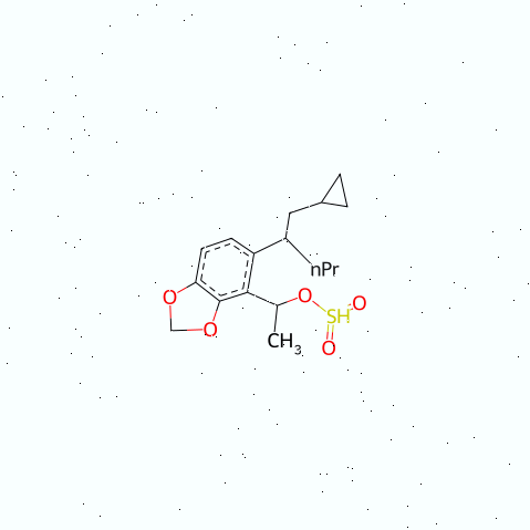 CCCC(CC1CC1)c1ccc2c(c1C(C)O[SH](=O)=O)OCO2